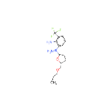 CCCOCC1CCC(N(N)c2cccc(C(F)(F)F)c2N)O1